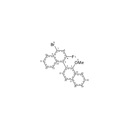 COc1c(-c2c(F)cc(Br)c3ccccc23)ccc2ccccc12